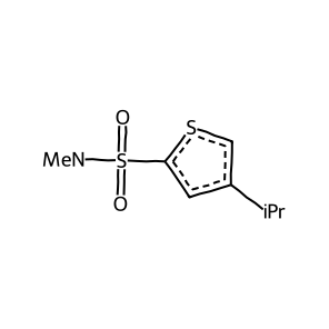 CNS(=O)(=O)c1cc(C(C)C)cs1